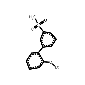 CCOc1c[c]ccc1-c1cccc(S(C)(=O)=O)c1